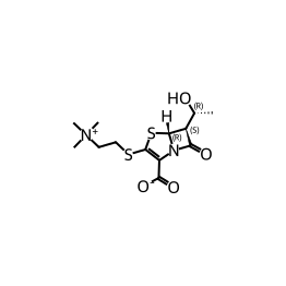 C[C@@H](O)[C@H]1C(=O)N2C(C(=O)[O-])=C(SCC[N+](C)(C)C)S[C@H]12